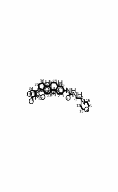 C[C@]12CC[C@H](NC(=O)NCCN3CCOCC3)C[C@H]1CC[C@@H]1[C@@H]2C[C@@H](O)[C@]2(C)[C@@H](C3=CC(=O)OC3)CC[C@]12O